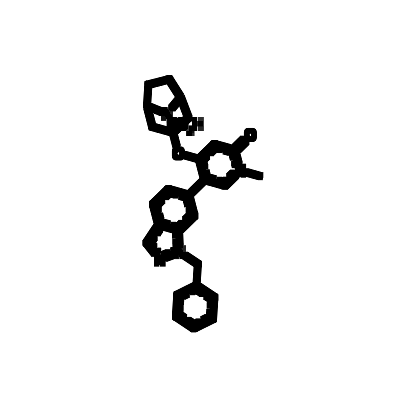 Cn1cc(-c2ccc3cnn(Cc4ccccc4)c3c2)c(OC2CC3CCC(C2)N3C(=O)O)cc1=O